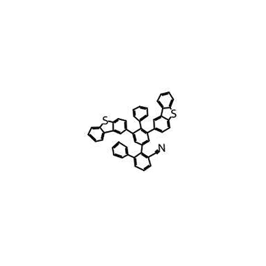 N#Cc1cccc(-c2ccccc2)c1-c1cc(-c2ccc3sc4ccccc4c3c2)c(-c2ccccc2)c(-c2ccc3sc4ccccc4c3c2)c1